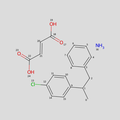 CC(Cc1ccccc1)c1ccc(Cl)cc1.N.O=C(O)C=CC(=O)O